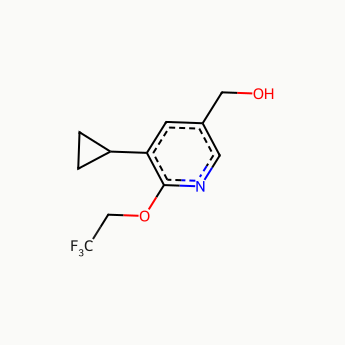 OCc1cnc(OCC(F)(F)F)c(C2CC2)c1